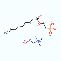 CCCCCCCCCCCCCCCCCC(=O)OCCP(=O)(O)O.C[N+](C)(C)CCO